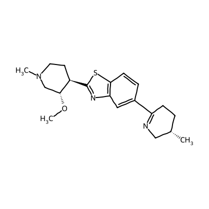 CO[C@@H]1CN(C)CC[C@H]1c1nc2cc(C3=NC[C@@H](C)CC3)ccc2s1